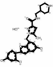 Cc1cc(C(=O)NCC2CCNCC2)nn1Cc1cc(Cl)cc2cc(-c3ccc(Cl)cc3Cl)oc12.Cl